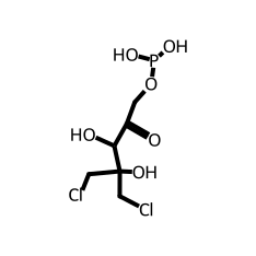 O=C(COP(O)O)C(O)C(O)(CCl)CCl